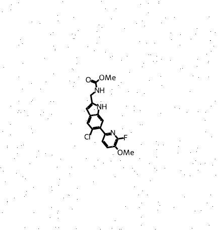 COC(=O)NCc1cc2cc(Cl)c(-c3ccc(OC)c(F)n3)cc2[nH]1